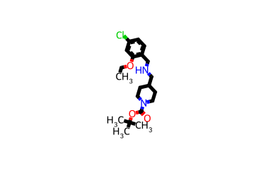 CCOc1cc(Cl)ccc1CNCC1CCN(C(=O)OC(C)(C)C)CC1